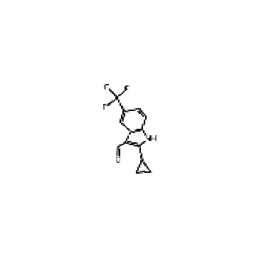 O=Cc1c(C2CC2)[nH]c2ccc(C(F)(F)F)cc12